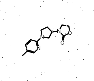 Cc1ccc(N2CCC(N3CCOC3=O)C2)nc1